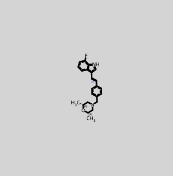 C[C@@H]1CN(Cc2ccc(/C=C/c3c[nH]c4c(F)cccc34)cc2)C[C@H](C)O1